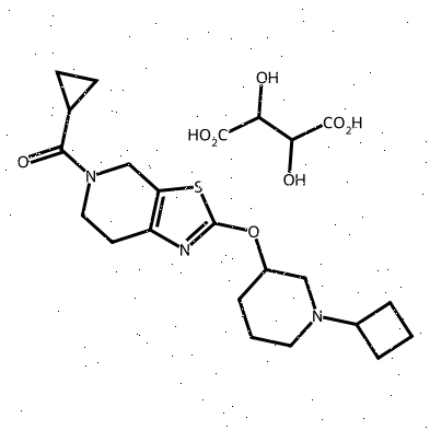 O=C(C1CC1)N1CCc2nc(OC3CCCN(C4CCC4)C3)sc2C1.O=C(O)C(O)C(O)C(=O)O